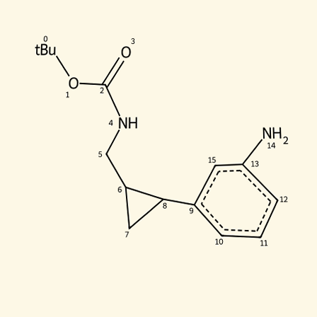 CC(C)(C)OC(=O)NCC1CC1c1cccc(N)c1